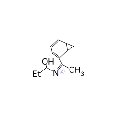 CCC(O)/N=C(/C)C1=CC=CC2CC12